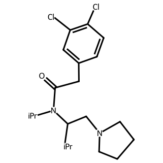 CC(C)C(CN1CCCC1)N(C(=O)Cc1ccc(Cl)c(Cl)c1)C(C)C